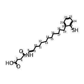 O=C(O)CCC(=O)NC=CCCCCCCCCCCc1ccccc1S